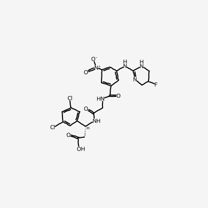 O=C(O)C[C@@H](NC(=O)CNC(=O)c1cc(NC2=NCC(F)CN2)cc([N+](=O)[O-])c1)c1cc(Cl)cc(Cl)c1